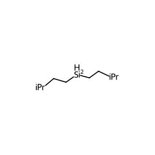 CC(C)CC[SiH2]CCC(C)C